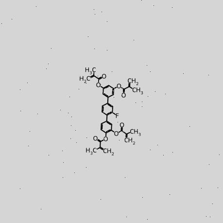 C=C(C)C(=O)Oc1cc(OC(=O)C(=C)C)cc(-c2ccc(-c3ccc(OC(=O)C(=C)C)c(OC(=O)C(=C)C)c3)c(F)c2)c1